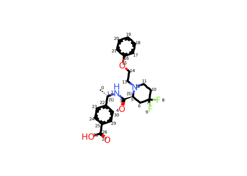 C[C@H](NC(=O)[C@@H]1CC(F)(F)CCN1CCOc1ccccc1)c1ccc(C(=O)O)cc1